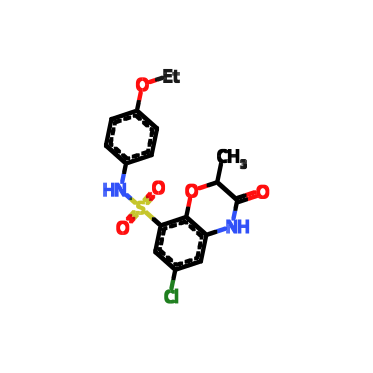 CCOc1ccc(NS(=O)(=O)c2cc(Cl)cc3c2OC(C)C(=O)N3)cc1